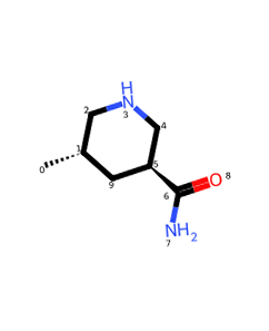 C[C@@H]1CNC[C@@H](C(N)=O)C1